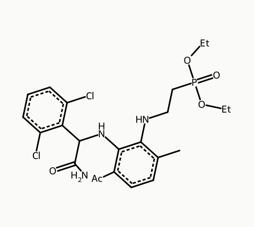 CCOP(=O)(CCNc1c(C)ccc(C(C)=O)c1NC(C(N)=O)c1c(Cl)cccc1Cl)OCC